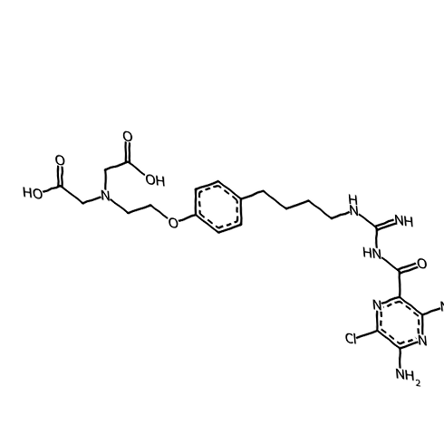 N=C(NCCCCc1ccc(OCCN(CC(=O)O)CC(=O)O)cc1)NC(=O)c1nc(Cl)c(N)nc1N